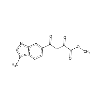 COC(=O)C(=O)CC(=O)c1ccc2c(c1)ncn2C